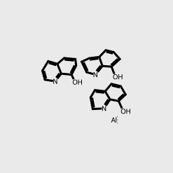 Oc1cccc2cccnc12.Oc1cccc2cccnc12.Oc1cccc2cccnc12.[Al]